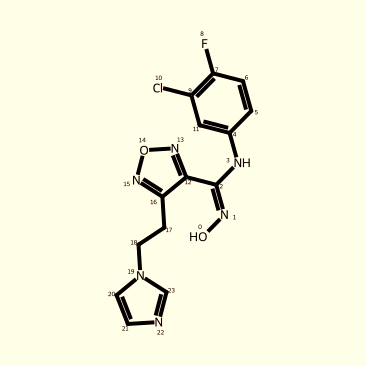 O/N=C(/Nc1ccc(F)c(Cl)c1)c1nonc1CCn1ccnc1